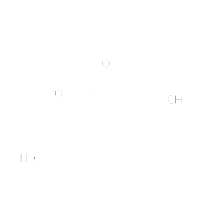 CC1CCCC(C)CC2(C1)OCCO2